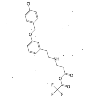 O=C(CCNCCc1cccc(OCc2ccc(Cl)cc2)c1)OC(=O)C(F)(F)F